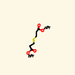 CCCOC(=O)CCSCCC(=O)OCCC